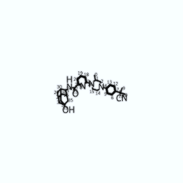 CC1CN(c2ccc(C(C)(C)C#N)cc2)CCN1c1cccc(C(=O)NC2C3CC4CC2CC(O)(C4)C3)n1